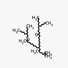 C=C(CCCN(C)C)CC(CCCCCCCC(=C)OCCC(CCCCC)CCCCC)CCCCCCCC(=O)CCCCC(CCCCC)CCCCC